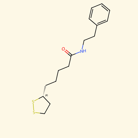 O=C(CCCC[C@@H]1CCSS1)NCCc1ccccc1